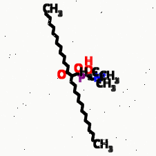 CCCCCCCCCCCCCCC(C(=O)CCCCCCCCCCCCC)C(=O)[P-]C(O)C[N+](C)(C)C